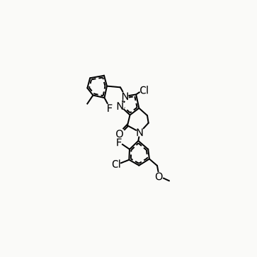 COCc1cc(Cl)c(F)c(N2CCc3c(nn(Cc4cccc(C)c4F)c3Cl)C2=O)c1